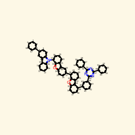 c1ccc(-c2ccc3c(c2)c2ccccc2n3-c2cccc3c2oc2ccc(-c4cccc5c4oc4cccc(-c6cccc(-c7nc(-c8ccccc8)nc(-c8ccccc8)n7)c6)c45)cc23)cc1